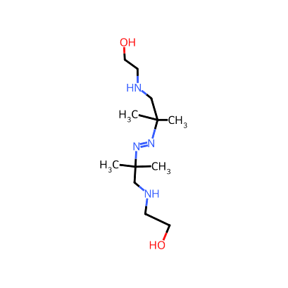 CC(C)(CNCCO)N=NC(C)(C)CNCCO